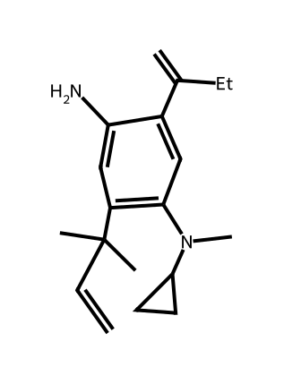 C=CC(C)(C)c1cc(N)c(C(=C)CC)cc1N(C)C1CC1